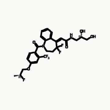 C[C@@H](F)COc1ccc(C(=O)N2CCC(F)(F)C(=CC(=O)NC[C@H](O)CO)c3ccccc32)c(C(F)(F)F)c1